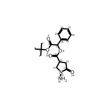 CC(C)(C)OC(=O)C(OC(=O)C1CC(=O)N(N)C1)c1ccccc1